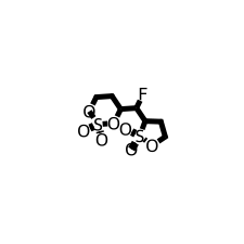 O=S1(=O)OCCC(C(F)C2CCOS2(=O)=O)O1